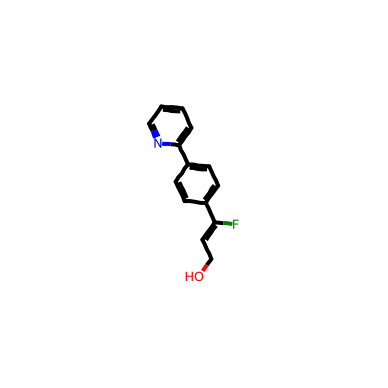 OCC=C(F)c1ccc(-c2ccccn2)cc1